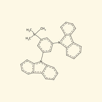 C[Si](C)(C)c1cc(-n2c3ccccc3c3ccccc32)cc(-n2c3ccccc3c3ccccc32)c1